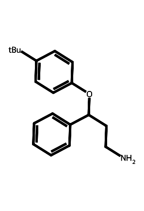 CC(C)(C)c1ccc(OC(CCN)c2ccccc2)cc1